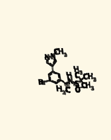 C[C@@H](N[S@@+]([O-])C(C)(C)C)c1cc(Br)cc(-c2cnn(C)c2)c1